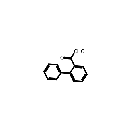 O=CC(=O)c1ccccc1-c1ccccc1